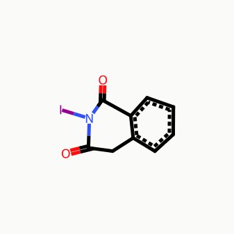 O=C1Cc2ccccc2C(=O)N1I